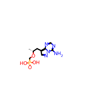 C[C@H](Cc1cnn2c(N)ncnc12)OCP(=O)(O)O